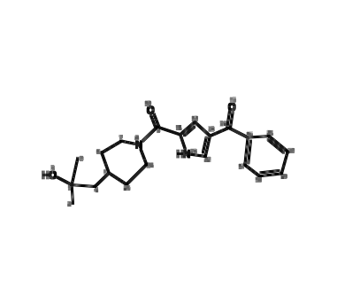 CC(C)(O)CC1CCN(C(=O)c2cc(C(=O)c3ccccc3)c[nH]2)CC1